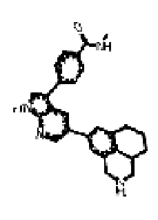 CNC(=O)c1ccc(-c2c[nH]c3ncc(-c4cc5c6c(c4)CNCC6CCC5)cc23)cc1